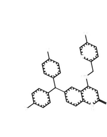 O=c1cc(NCc2ccc(C(F)(F)F)cn2)c2cc(C(c3ccc(Cl)cc3)c3ccc(Cl)cc3)ccc2[nH]1